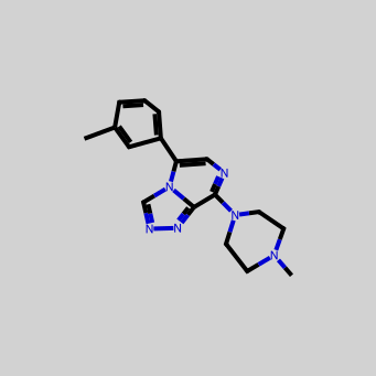 Cc1cccc(-c2cnc(N3CCN(C)CC3)c3nncn23)c1